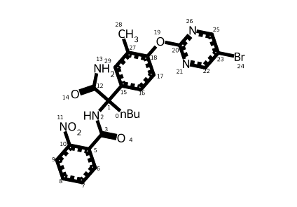 CCCCC(NC(=O)c1ccccc1[N+](=O)[O-])(C(N)=O)c1ccc(Oc2ncc(Br)cn2)c(C)c1